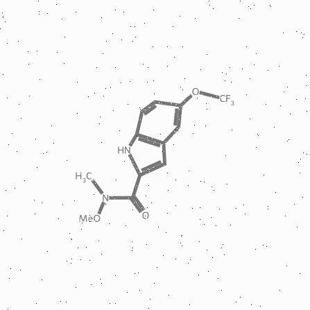 CON(C)C(=O)c1cc2cc(OC(F)(F)F)ccc2[nH]1